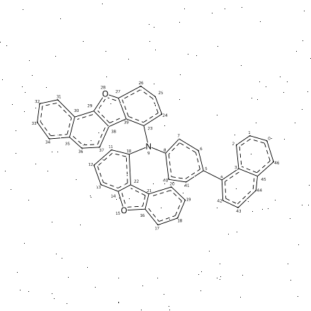 c1ccc2c(-c3ccc(N(c4cccc5oc6ccccc6c45)c4cccc5oc6c7ccccc7ccc6c45)cc3)cccc2c1